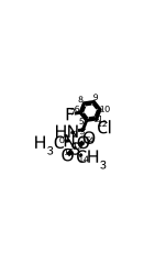 CN(NC(=O)c1c(F)cccc1Cl)S(C)(=O)=O